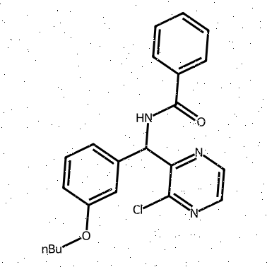 CCCCOc1cccc(C(NC(=O)c2ccccc2)c2nccnc2Cl)c1